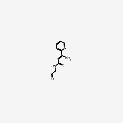 NC(=CC(=O)NC[C]=O)c1ccccn1